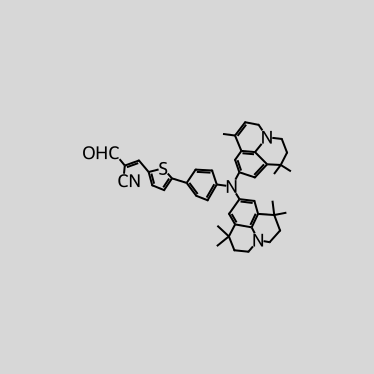 CC1=CCN2CCC(C)(C)c3cc(N(c4ccc(-c5ccc(/C=C(\C#N)C=O)s5)cc4)c4cc5c6c(c4)C(C)(C)CCN6CCC5(C)C)cc1c32